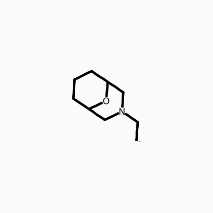 [CH2]CN1CC2CCCC(C1)O2